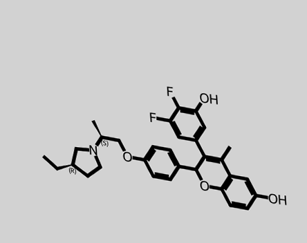 CC[C@@H]1CCN([C@@H](C)COc2ccc(C3Oc4ccc(O)cc4C(C)=C3c3cc(O)c(F)c(F)c3)cc2)C1